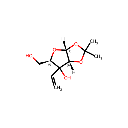 C=CC1(O)[C@@H](CO)O[C@@H]2OC(C)(C)O[C@@H]21